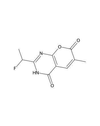 Cc1cc2c(=O)[nH]c(C(C)F)nc2oc1=O